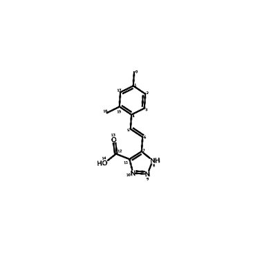 Cc1ccc(C=Cc2[nH]nnc2C(=O)O)c(C)c1